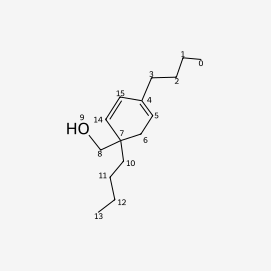 CCCCC1=CCC(CO)(CCCC)C=C1